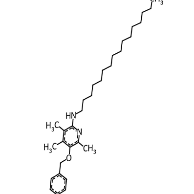 CCCCCCCCCCCCCCCCNc1nc(C)c(OCc2ccccc2)c(C)c1C